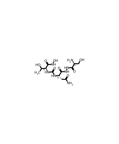 CC(O)[C@H](NC(=O)N[C@@H](CC(N)=O)C(=O)NNC(=O)[C@@H](N)CO)C(=O)NO